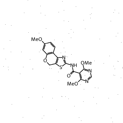 COc1ccc2c(c1)OCc1sc(NC(=O)c3c(OC)ncnc3OC)nc1-2